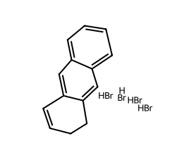 Br.Br.Br.Br.C1=Cc2cc3ccccc3cc2CC1